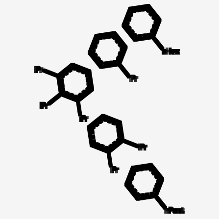 CC(C)c1cccc(C(C)C)c1C(C)C.CC(C)c1ccccc1.CC(C)c1ccccc1C(C)C.CCCCCCc1ccccc1.CCCCCc1ccccc1